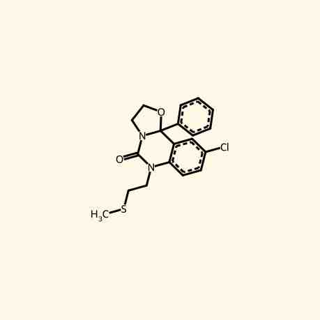 CSCCN1C(=O)N2CCOC2(c2ccccc2)c2cc(Cl)ccc21